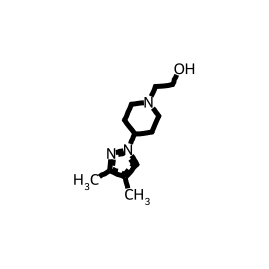 Cc1cn(C2CCN(CCO)CC2)nc1C